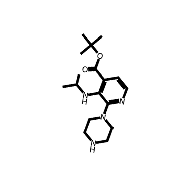 CC(C)Nc1c(C(=O)OC(C)(C)C)ccnc1N1CCNCC1